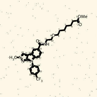 COC(=O)CCCCCCOCCNC(=O)c1ccc2c(c1)c1cn(C)nc1n2-c1ccc(C(F)(F)F)cc1